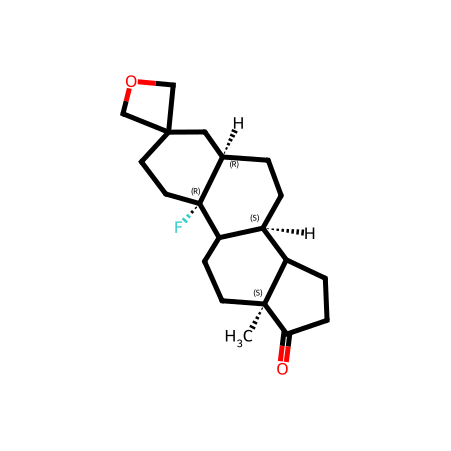 C[C@]12CCC3[C@@H](CC[C@@H]4CC5(CC[C@]34F)COC5)C1CCC2=O